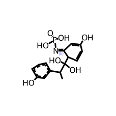 CC(c1cccc(O)c1)C(O)(O)C1C=CC(O)=C/C1=N\P(=O)(O)O